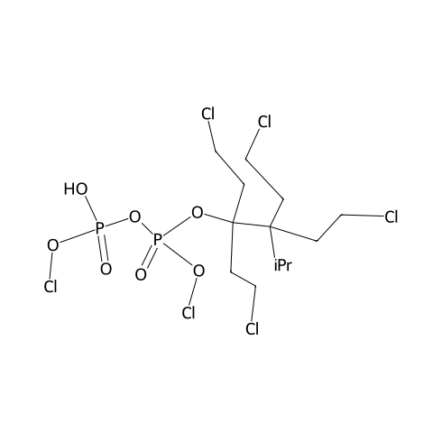 CC(C)C(CCCl)(CCCl)C(CCCl)(CCCl)OP(=O)(OCl)OP(=O)(O)OCl